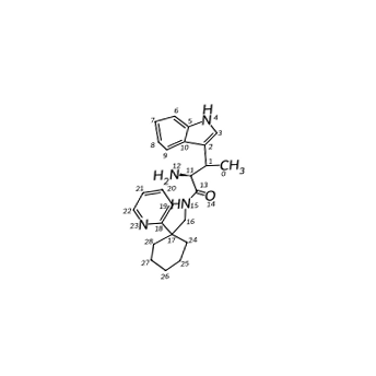 CC(c1c[nH]c2ccccc12)[C@H](N)C(=O)NCC1(c2ccccn2)CCCCC1